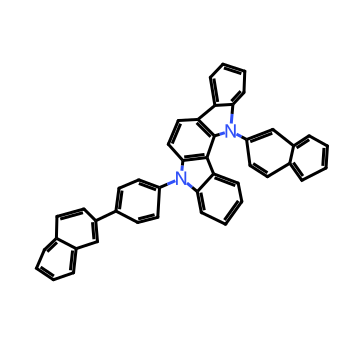 c1ccc2cc(-c3ccc(-n4c5ccccc5c5c4ccc4c6ccccc6n(-c6ccc7ccccc7c6)c45)cc3)ccc2c1